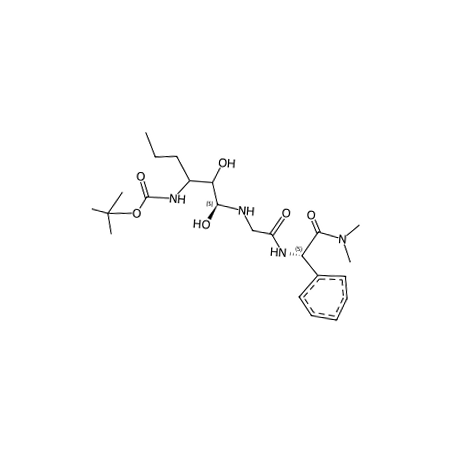 CCCC(NC(=O)OC(C)(C)C)C(O)[C@H](O)NCC(=O)N[C@H](C(=O)N(C)C)c1ccccc1